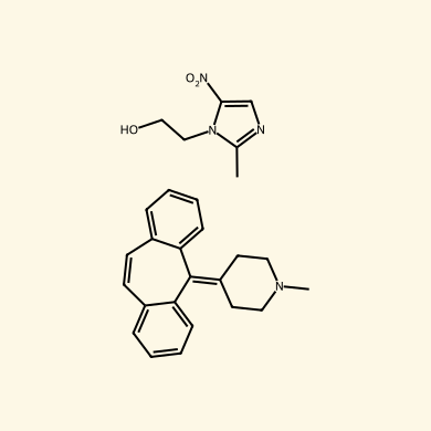 CN1CCC(=C2c3ccccc3C=Cc3ccccc32)CC1.Cc1ncc([N+](=O)[O-])n1CCO